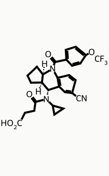 N#Cc1ccc2c(c1)[C@H](N(C(=O)CCC(=O)O)C1CC1)[C@H]1CCC[C@H]1N2C(=O)c1ccc(OC(F)(F)F)cc1